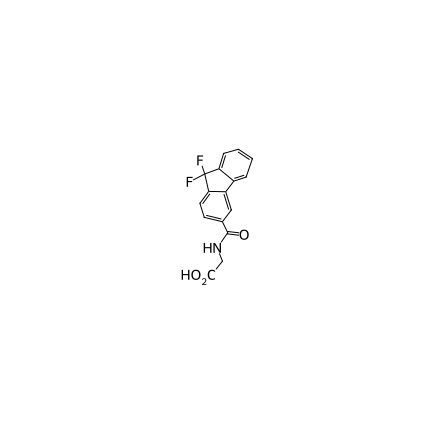 O=C(O)CNC(=O)c1ccc2c(c1)-c1ccccc1C2(F)F